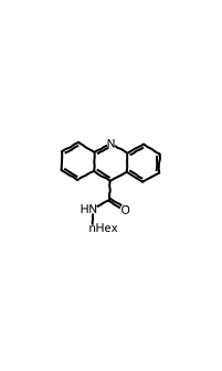 CCCCCCNC(=O)c1c2ccccc2nc2ccccc12